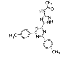 Cc1ccc(-c2nc(-c3ccc(C)cc3)nc(-c3nc(NC(=O)C(F)(F)F)n[nH]3)n2)cc1